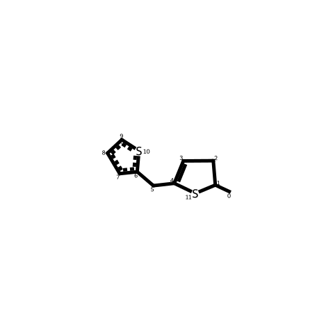 CC1CC=C(Cc2cccs2)S1